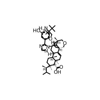 CC(C)[C@@H](C)[C@@]1(C)CC[C@]2(C)[C@H]3CC[C@@H]4[C@@]5(COC[C@@]4(C)[C@@H](OC[C@](C)(N)C(C)(C)C)[C@H](n4ncnc4-c4ccnc(O)c4)C5)C3=CC[C@@]2(C)[C@@H]1C(=O)O